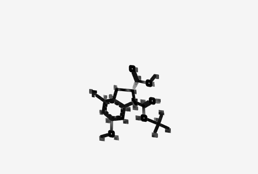 COC(=O)[C@H]1Cc2c(F)cc(OC)cc2N1C(=O)OC(C)(C)C